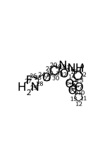 Cc1ccc(S(=O)(=O)OC2CCCC2)cc1Nc1nc2ccc(OC/C(=C/F)CN)cc2o1